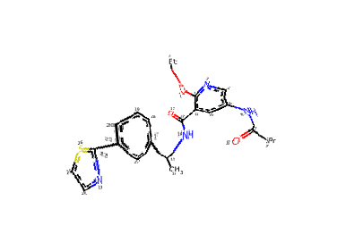 CCOc1ncc(NC(=O)C(C)C)cc1C(=O)NC(C)c1cccc(-c2nccs2)c1